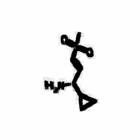 CS(=O)(=O)/C=C/[C@@H](N)C1CC1